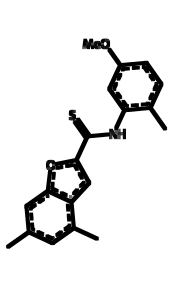 COc1ccc(C)c(NC(=S)c2cc3c(C)cc(C)cc3o2)c1